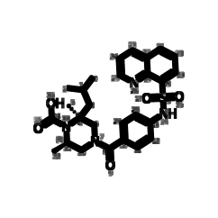 CC(C)C[C@@]1(C)CN(C(=O)c2ccc(NS(=O)(=O)c3cccc4cccnc34)cc2)C[C@@H](C)N1C(=O)O